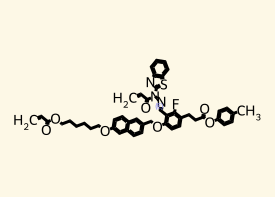 C=CC(=O)OCCCCCCOc1ccc2cc(COc3ccc(CCC(=O)Oc4ccc(C)cc4)c(F)c3/C=N/N(C(=O)C=C)c3nc4ccccc4s3)ccc2c1